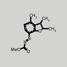 COC(=O)N=Nc1ccc(C)c2c1OC(C)C2C